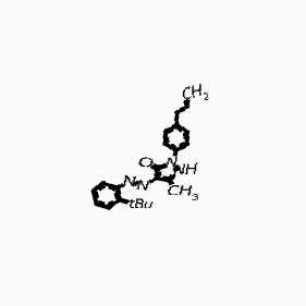 C=CCc1ccc(-n2[nH]c(C)c(N=Nc3ccccc3C(C)(C)C)c2=O)cc1